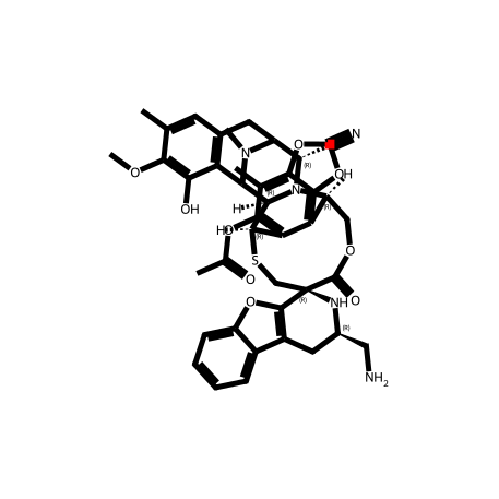 COc1c(C)cc2c(c1O)C1[C@@H]3[C@@H]4SC[C@]5(N[C@@H](CN)Cc6c5oc5ccccc65)C(=O)OC[C@@H](c5c6c(c(C)c(OC(C)=O)c54)OCO6)N3[C@@H](C#N)C(C2)N1C